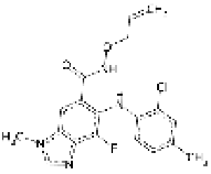 C=CCONC(=O)c1cc2c(ncn2C)c(F)c1Nc1ccc(C)cc1Cl